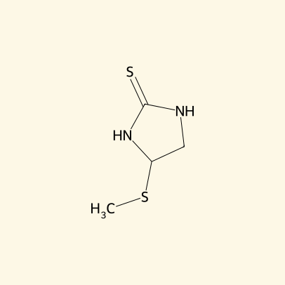 CSC1CNC(=S)N1